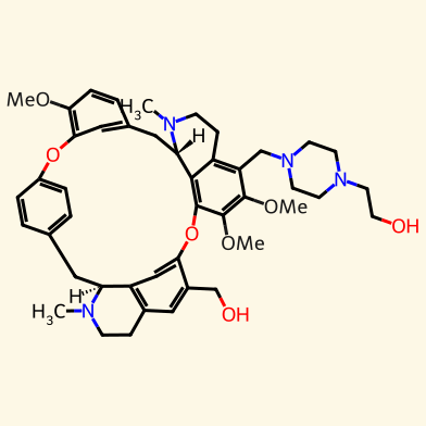 COc1ccc2cc1Oc1ccc(cc1)C[C@H]1c3cc(c(CO)cc3CCN1C)Oc1c(OC)c(OC)c(CN3CCN(CCO)CC3)c3c1[C@H](C2)N(C)CC3